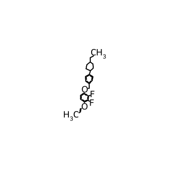 C/C=C/Oc1ccc(OCc2ccc(C3CCC(CCC)CC3)cc2)c(F)c1F